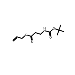 C=CCOC(=O)CCNC(=O)OC(C)(C)C